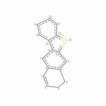 C1=Cc2cc3c(cc2CC1)sc1ccccc13